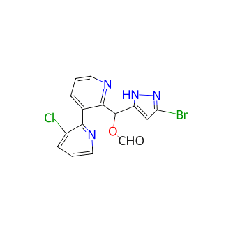 O=COC(c1cc(Br)n[nH]1)c1ncccc1-c1ncccc1Cl